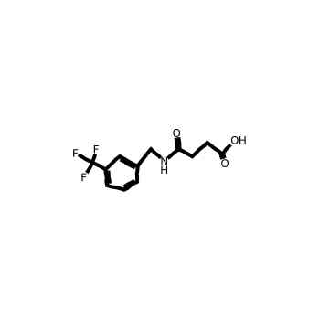 O=C(O)CCC(=O)NCc1cccc(C(F)(F)F)c1